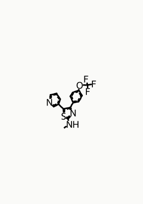 CNc1nc(-c2ccc(OC(F)(F)F)cc2)c(-c2cccnc2)s1